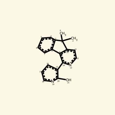 CC1(C)c2ccccc2-c2c1ccnc2-c1cccnc1O